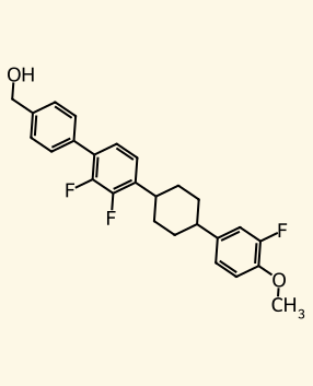 COc1ccc(C2CCC(c3ccc(-c4ccc(CO)cc4)c(F)c3F)CC2)cc1F